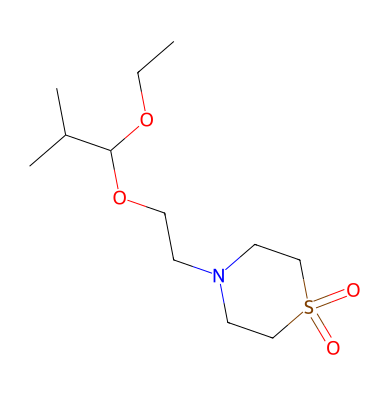 CCOC(OCCN1CCS(=O)(=O)CC1)C(C)C